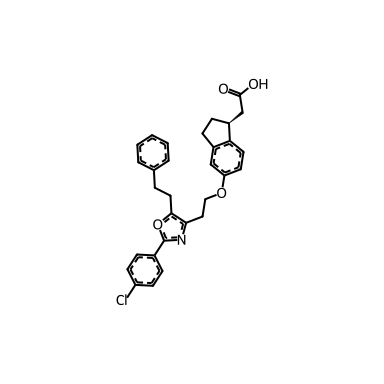 O=C(O)C[C@@H]1CCc2cc(OCCc3nc(-c4ccc(Cl)cc4)oc3CCc3ccccc3)ccc21